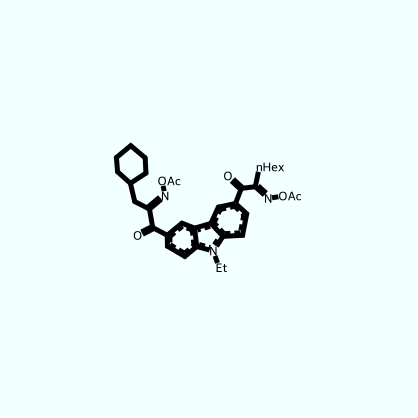 CCCCCCC(=NOC(C)=O)C(=O)c1ccc2c(c1)c1cc(C(=O)C(CC3CCCCC3)=NOC(C)=O)ccc1n2CC